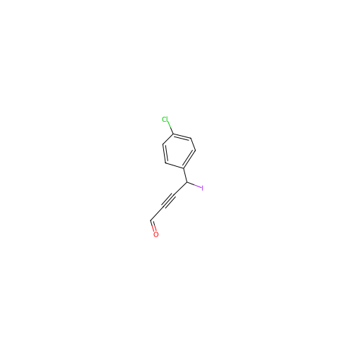 O=CC#CC(I)c1ccc(Cl)cc1